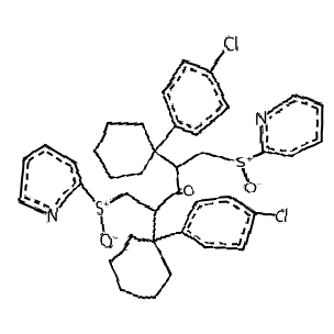 O=C(C(C[S+]([O-])c1ccccn1)C1(c2ccc(Cl)cc2)CCCCC1)C(C[S+]([O-])c1ccccn1)C1(c2ccc(Cl)cc2)CCCCC1